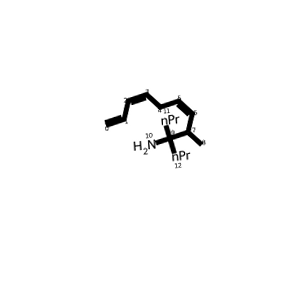 C=C/C=C\C/C=C\C(C)C(N)(CCC)CCC